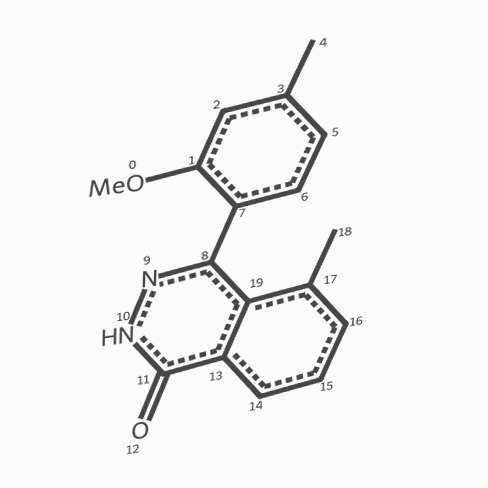 COc1cc(C)ccc1-c1n[nH]c(=O)c2cccc(C)c12